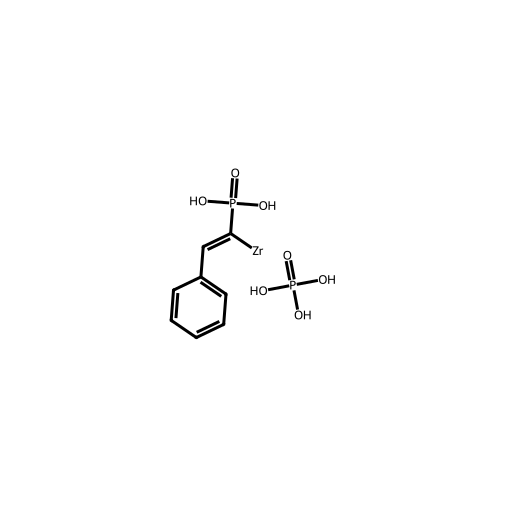 O=P(O)(O)O.O=P(O)(O)[C]([Zr])=Cc1ccccc1